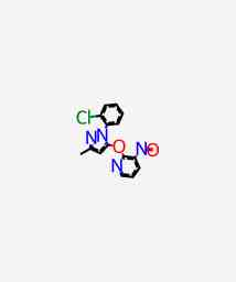 Cc1cc(Oc2ncccc2N=O)n(-c2ccccc2Cl)n1